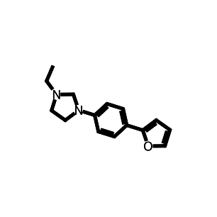 CCN1CCN(c2ccc(-c3ccco3)cc2)C1